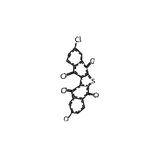 O=c1c2cc(Cl)ccc2c(=O)c2c1sc1c(=O)c3ccc(Cl)cc3c(=O)c12